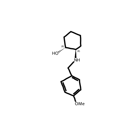 COc1ccc(CN[C@@H]2CCCC[C@H]2O)cc1